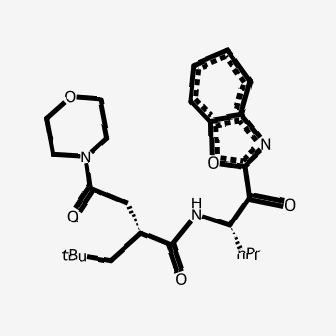 CCC[C@H](NC(=O)[C@@H](CC(=O)N1CCOCC1)CC(C)(C)C)C(=O)c1nc2ccccc2o1